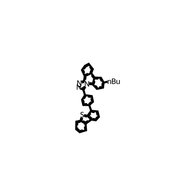 CCCCc1ccc2c(c1)c1ccccc1c1nnc(-c3ccc(-c4cccc5c4sc4ccccc45)cc3)n21